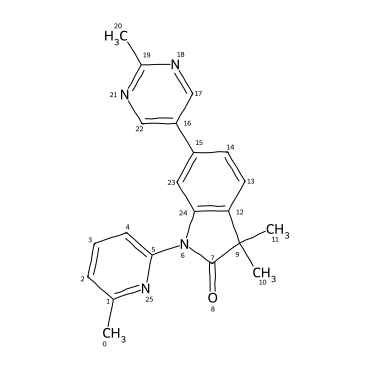 Cc1cccc(N2C(=O)C(C)(C)c3ccc(-c4cnc(C)nc4)cc32)n1